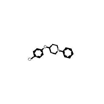 Clc1ccc(OC2CCN(c3cc[c]cc3)CC2)cc1